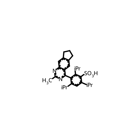 Cc1nc(-c2c(C(C)C)cc(C(C)C)c(S(=O)(=O)O)c2C(C)C)c2cc3c(cc2n1)CCC3